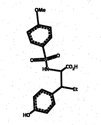 CCC(c1ccc(O)cc1)C(NS(=O)(=O)c1ccc(OC)cc1)C(=O)O